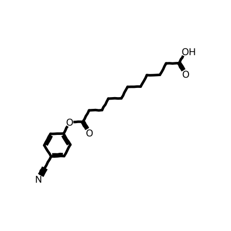 N#Cc1ccc(OC(=O)CCCCCCCCCC(=O)O)cc1